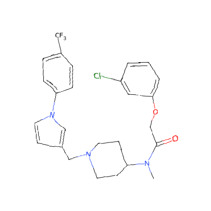 CN(C(=O)COc1cccc(Cl)c1)C1CCN(Cc2ccn(-c3ccc(C(F)(F)F)cc3)c2)CC1